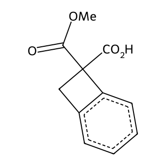 COC(=O)C1(C(=O)O)Cc2ccccc21